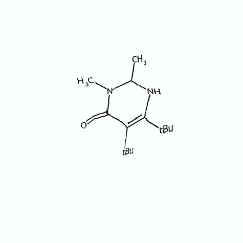 CC1NC(C(C)(C)C)=C(C(C)(C)C)C(=O)N1C